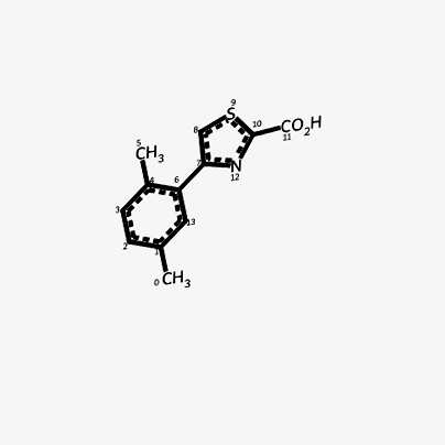 Cc1ccc(C)c(-c2csc(C(=O)O)n2)c1